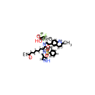 CCC(=O)CCCCCC(c1ncc(-c2cc3ccc(C)nc3cc2OC)o1)N(CC1CNC1)S(=O)(=O)c1ccccc1[N+](=O)[O-].O=C(O)C(F)(F)F